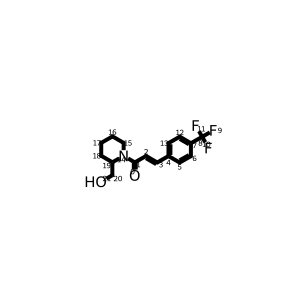 O=C(C=Cc1ccc(C(F)(F)F)cc1)N1CCCCC1CO